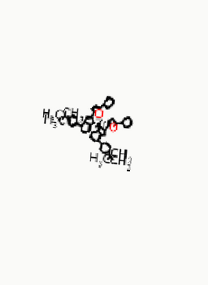 CC(C)(C)c1ccc(-c2cccc3c2C=C(c2ccc(-c4ccccc4)o2)[CH]3[Zr][CH]2C(c3ccc(-c4ccccc4)o3)=Cc3c(-c4ccc(C(C)(C)C)cc4)cccc32)cc1